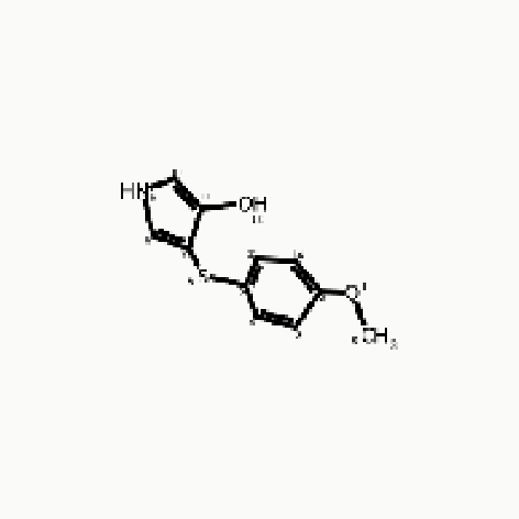 COc1ccc(Sc2c[nH]cc2O)cc1